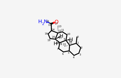 CC1CCCC2CC[C@@H]3[C@H](CC[C@]4(C)C(C(N)=O)CC[C@@H]34)[C@@]12C